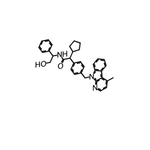 Cc1ccnc2c1c1ccccc1n2Cc1ccc(C(C(=O)NC(CO)c2ccccc2)C2CCCC2)cc1